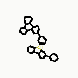 c1ccc(-c2ccc3c(c2)[SH](c2cccc(-c4ccc5c6ccccc6c6ccccc6c5c4)c2)c2ccccc2-3)cc1